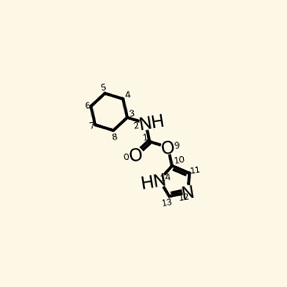 O=C(NC1CCCCC1)Oc1cnc[nH]1